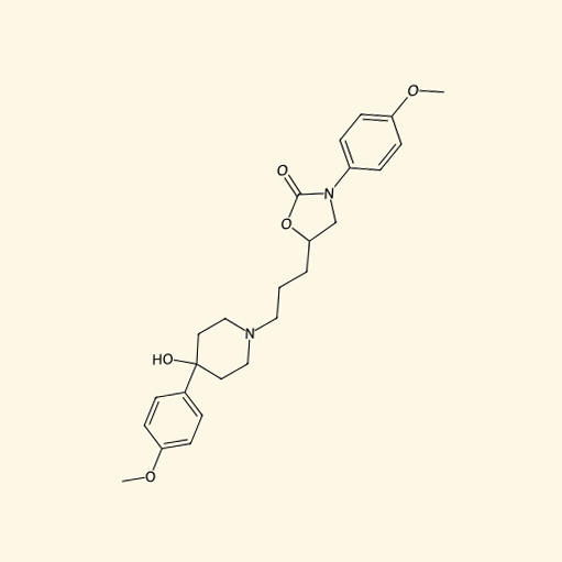 COc1ccc(N2CC(CCCN3CCC(O)(c4ccc(OC)cc4)CC3)OC2=O)cc1